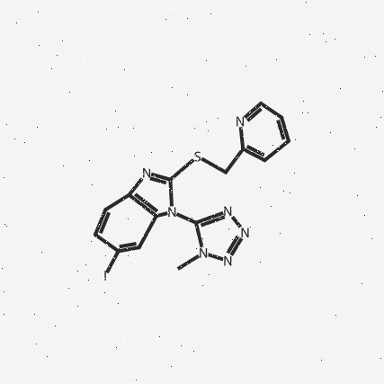 Cn1nnnc1-n1c(SCc2ccccn2)nc2ccc(I)cc21